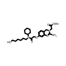 COC(=O)CN1Cc2ccc(OCC(=O)N(CCCCCCO)C3CCCCC3)cc2N=C1N